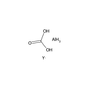 O=C(O)O.[AlH3].[Y]